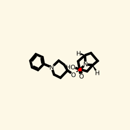 O=C(O)N1[C@@H]2CC[C@H]1C[C@@H](OC1CCN(c3ccccc3)CC1)C2